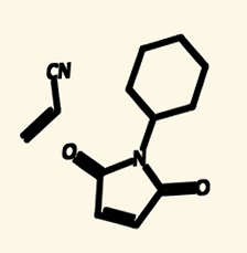 C=CC#N.O=C1C=CC(=O)N1C1CCCCC1